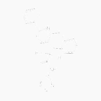 CC(C)(C(=O)Nc1nncs1)[C@H]1c2ccccc2Oc2nc(-c3ccccc3)ccc21